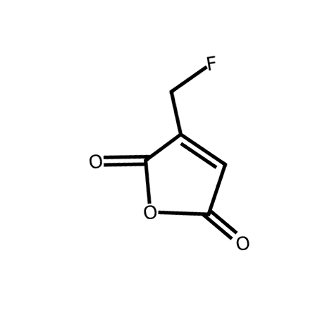 O=C1C=C(CF)C(=O)O1